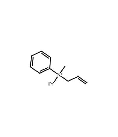 C=CC[N+](C)(c1ccccc1)C(C)C